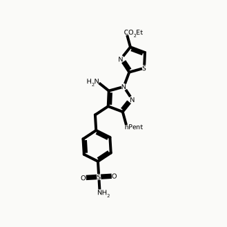 CCCCCc1nn(-c2nc(C(=O)OCC)cs2)c(N)c1Cc1ccc(S(N)(=O)=O)cc1